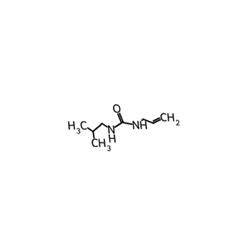 C=CCNC(=O)NCC(C)C